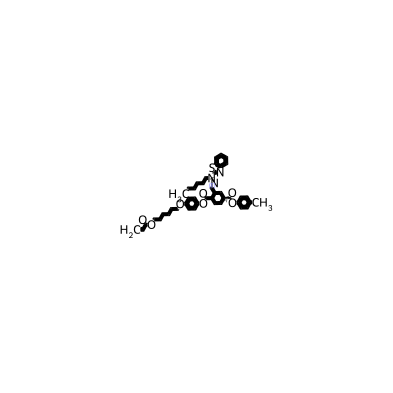 C=CC(=O)OCCCCCCOc1ccc(OC(=O)C2CC[C@H](C(=O)Oc3ccc(C)cc3)CC2/C=N/N(CCCCCC)c2nc3ccccc3s2)cc1